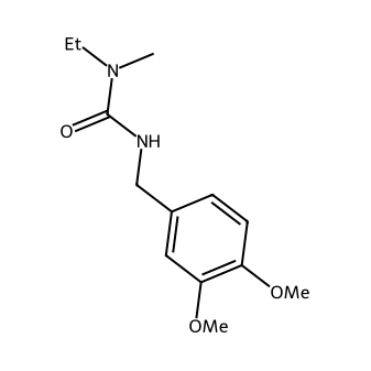 CCN(C)C(=O)NCc1ccc(OC)c(OC)c1